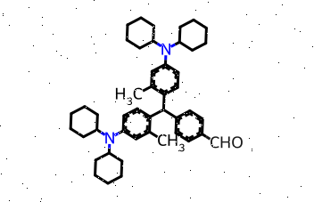 Cc1cc(N(C2CCCCC2)C2CCCCC2)ccc1C(c1ccc(C=O)cc1)c1ccc(N(C2CCCCC2)C2CCCCC2)cc1C